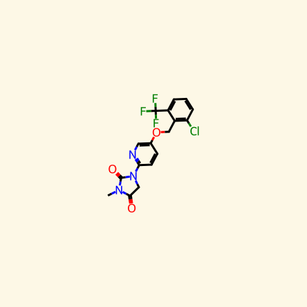 CN1C(=O)CN(c2ccc(OCc3c(Cl)cccc3C(F)(F)F)cn2)C1=O